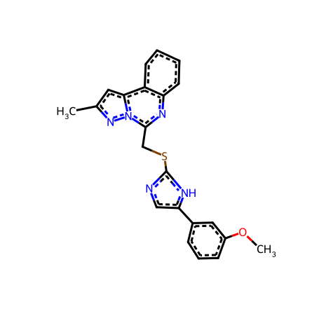 COc1cccc(-c2cnc(SCc3nc4ccccc4c4cc(C)nn34)[nH]2)c1